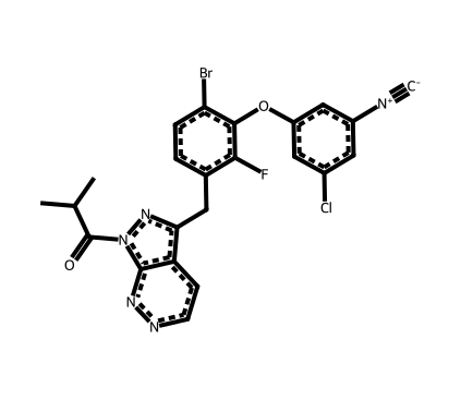 [C-]#[N+]c1cc(Cl)cc(Oc2c(Br)ccc(Cc3nn(C(=O)C(C)C)c4nnccc34)c2F)c1